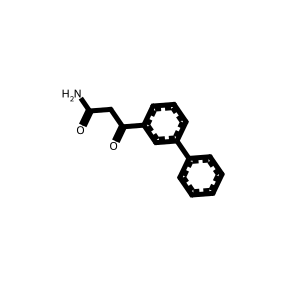 NC(=O)CC(=O)c1cccc(-c2ccccc2)c1